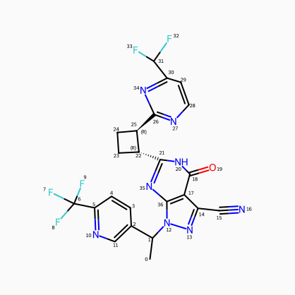 CC(c1ccc(C(F)(F)F)nc1)n1nc(C#N)c2c(=O)[nH]c([C@@H]3CC[C@H]3c3nccc(C(F)F)n3)nc21